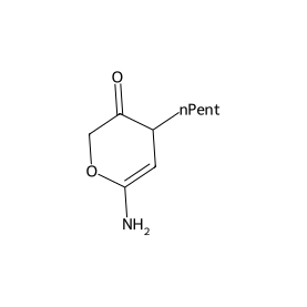 CCCCCC1C=C(N)OCC1=O